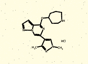 Cc1nn(C)cc1-c1cn2nccc2c(OC2CCCNCC2)n1.Cl